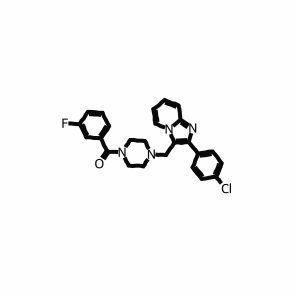 O=C(c1cccc(F)c1)N1CCN(Cc2c(-c3ccc(Cl)cc3)nc3ccccn23)CC1